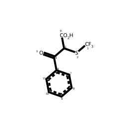 O=C(O)C(SC(F)(F)F)C(=O)c1ccccc1